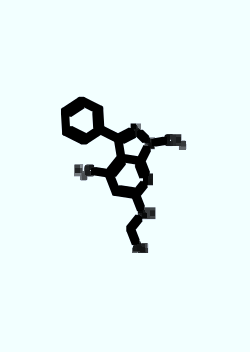 CC(=O)CNc1cc(C(F)(F)F)c2c(-c3ccccc3)nn(C)c2n1